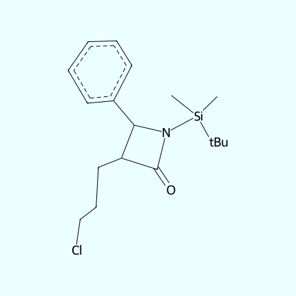 CC(C)(C)[Si](C)(C)N1C(=O)C(CCCCl)C1c1ccccc1